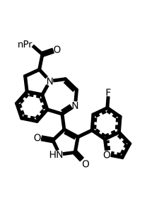 CCCC(=O)C1Cc2cccc3c2N1C=CN=C3C1=C(c2cc(F)cc3ccoc23)C(=O)NC1=O